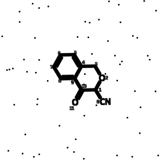 N#CC1OCc2ccccc2C1=O